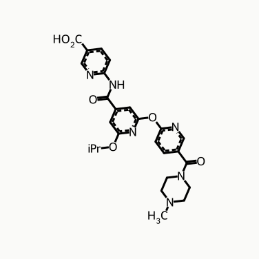 CC(C)Oc1cc(C(=O)Nc2ccc(C(=O)O)cn2)cc(Oc2ccc(C(=O)N3CCN(C)CC3)cn2)n1